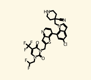 N#CC1(Cn2ccc3cc(Cl)cc(-c4ccnc5cc(Cn6c(=O)c(C(F)(F)F)cn(CC(F)F)c6=O)sc45)c32)CCNCC1